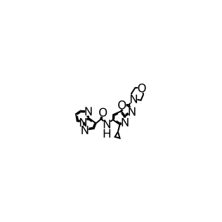 O=C(Nc1cc2oc(N3CCOCC3)nc2nc1C1CC1)c1cnn2cccnc12